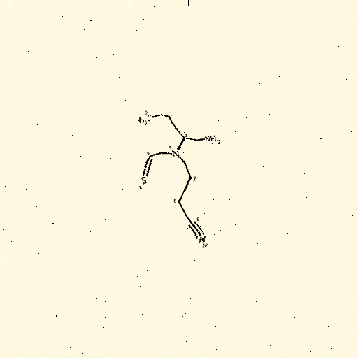 [CH2]CC(N)N(C=S)CCC#N